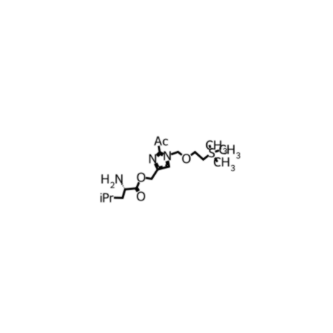 CC(=O)c1nc(COC(=O)[C@@H](N)CC(C)C)cn1COCCS(C)(C)C